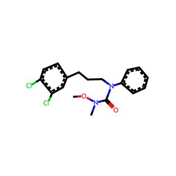 CON(C)C(=O)N(CCCc1ccc(Cl)c(Cl)c1)c1ccccc1